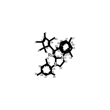 CC1=C(C)C(C)(C)C([C](=[Ru]=[C]2N(c3c(C)cc(C)cc3C)CCN2c2c(C)cc(C)cc2C)c2ccccc2)=C1C